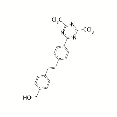 OCc1ccc(C=Cc2ccc(-c3nc(C(Cl)(Cl)Cl)nc(C(Cl)(Cl)Cl)n3)cc2)cc1